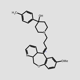 COc1ccc2c(c1)/C(=C/CCN1CCC(O)(c3ccc(C)cc3)CC1)C1C=CC=NC1CO2